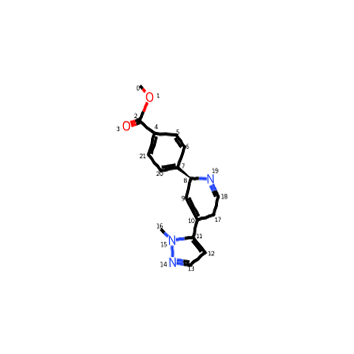 COC(=O)c1ccc([C@@H]2C=C(c3ccnn3C)CC=N2)cc1